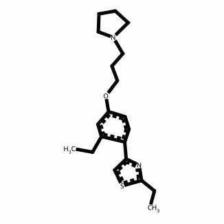 CCc1nc(-c2ccc(OCCCN3CCCC3)cc2CC)cs1